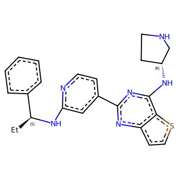 CC[C@H](Nc1cc(-c2nc(N[C@@H]3CCNC3)c3sccc3n2)ccn1)c1ccccc1